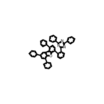 c1ccc(-c2cc(-c3ccccc3)c3oc4c(-c5ccccc5-c5nc(-c6ccccc6)nc(-c6ccccc6)n5)ccc(-c5ccccc5)c4c3c2)cc1